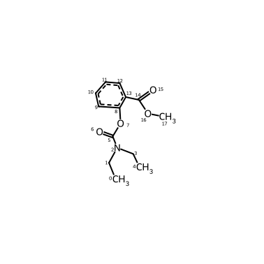 CCN(CC)C(=O)Oc1ccccc1C(=O)OC